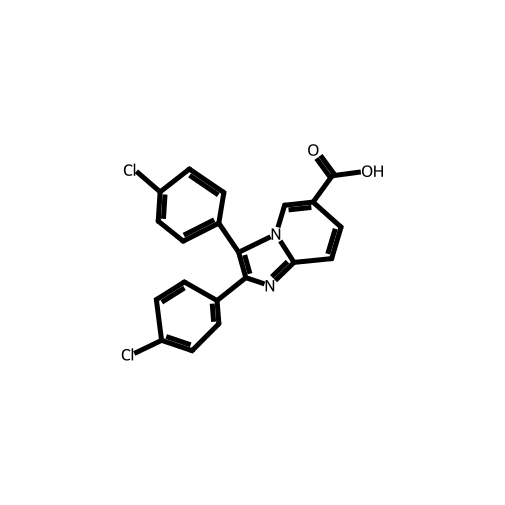 O=C(O)c1ccc2nc(-c3ccc(Cl)cc3)c(-c3ccc(Cl)cc3)n2c1